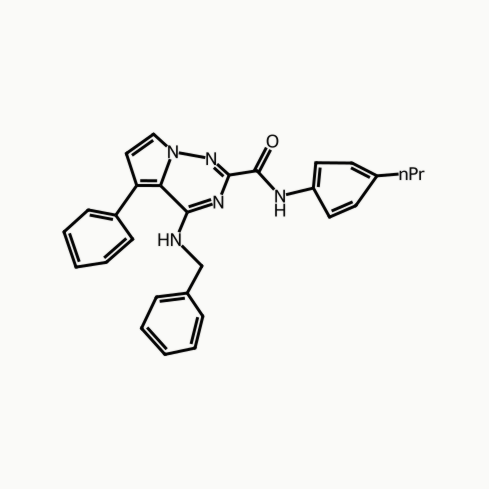 CCCc1ccc(NC(=O)c2nc(NCc3ccccc3)c3c(-c4ccccc4)ccn3n2)cc1